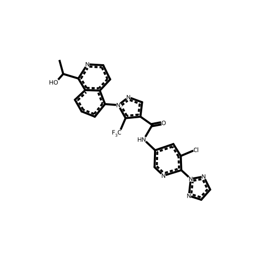 CC(O)c1nccc2c(-n3ncc(C(=O)Nc4cnc(-n5nccn5)c(Cl)c4)c3C(F)(F)F)cccc12